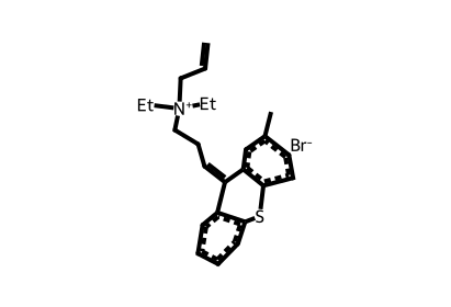 C=CC[N+](CC)(CC)CCC=C1c2ccccc2Sc2ccc(C)cc21.[Br-]